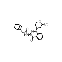 CCC1CN(c2nn(NC(=O)CC3CC4CCC3C4)c(=O)c3ccccc23)CCO1